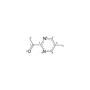 CC(=O)c1ncc(C)cn1